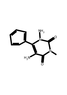 Cn1c(=O)c(N)c(-c2ccccc2)n(N)c1=O